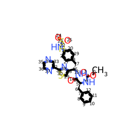 COC(=O)N[C@@H](Cc1ccccc1)C(=O)N[C@@H](Cc1ccc(N[SH](=O)=O)cc1)c1csc(-c2cnccn2)n1